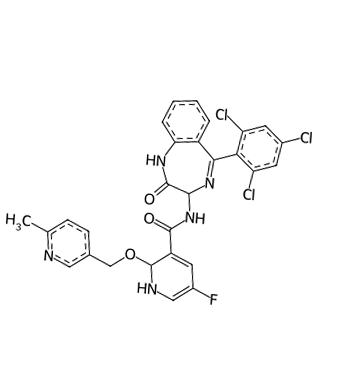 Cc1ccc(COC2NC=C(F)C=C2C(=O)NC2N=C(c3c(Cl)cc(Cl)cc3Cl)c3ccccc3NC2=O)cn1